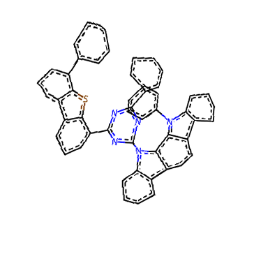 c1ccc(-c2nc(-c3cccc4c3sc3c(-c5ccccc5)cccc34)nc(-n3c4ccccc4c4ccc5c6ccccc6n(-c6ccccc6)c5c43)n2)cc1